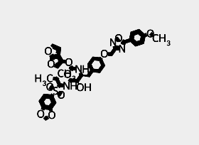 COc1ccc(-c2nc(COC3CCC(C[C@H](NC(=O)Oc4coc5occc45)[C@H](O)CNC(C(C)C)S(=O)(=O)c4ccc5c(c4)OCO5)CC3)no2)cc1